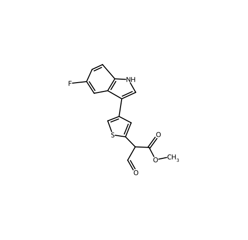 COC(=O)C(C=O)c1cc(-c2c[nH]c3ccc(F)cc23)cs1